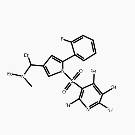 [2H]c1nc([2H])c(S(=O)(=O)n2cc(C(CC)N(C)CC)cc2-c2ccccc2F)c([2H])c1[2H]